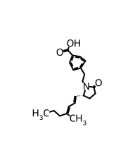 CCC/C(C)=C/C=C/[C@H]1CCC(=O)N1CCc1ccc(C(=O)O)cc1